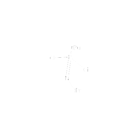 CC(C)N=P(Cl)(Cl)C(C)(C)C